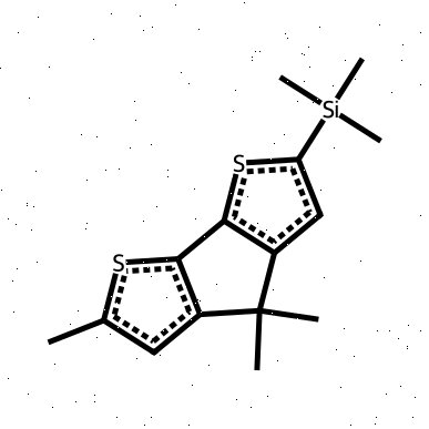 Cc1cc2c(s1)-c1sc([Si](C)(C)C)cc1C2(C)C